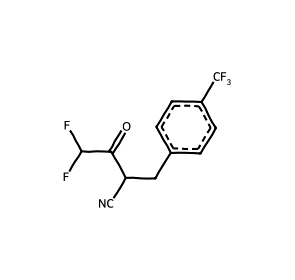 N#CC(Cc1ccc(C(F)(F)F)cc1)C(=O)C(F)F